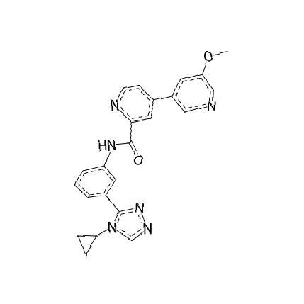 COc1cncc(-c2ccnc(C(=O)Nc3cccc(-c4nncn4C4CC4)c3)c2)c1